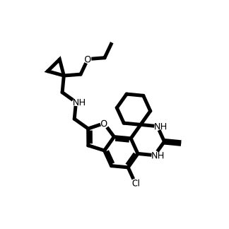 C=C1Nc2c(Cl)cc3cc(CNCC4(COCC)CC4)oc3c2C2(CCCCC2)N1